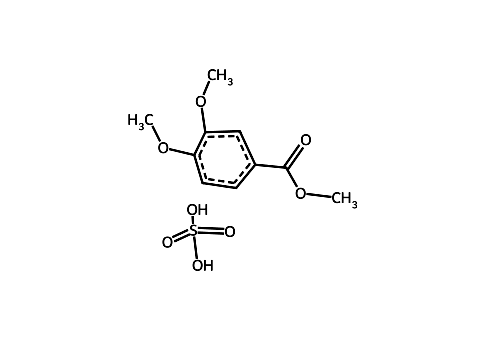 COC(=O)c1ccc(OC)c(OC)c1.O=S(=O)(O)O